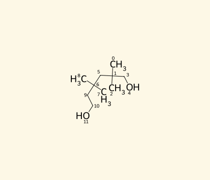 CC(C)(CO)CC(C)(C)CCO